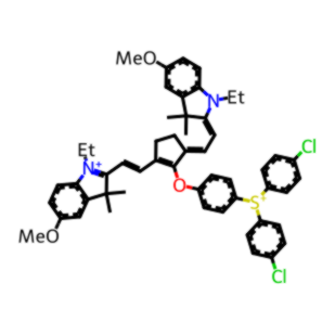 CCN1/C(=C/C=C2\CCC(/C=C/C3=[N+](CC)c4ccc(OC)cc4C3(C)C)=C2Oc2ccc([S+](c3ccc(Cl)cc3)c3ccc(Cl)cc3)cc2)C(C)(C)c2cc(OC)ccc21